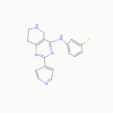 Fc1cccc(Nc2nc(-c3ccncc3)nc3c2CNCC3)c1